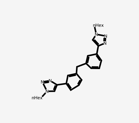 CCCCCCn1cc(-c2cccc(Cc3cccc(-c4cn(CCCCCC)nn4)c3)c2)nn1